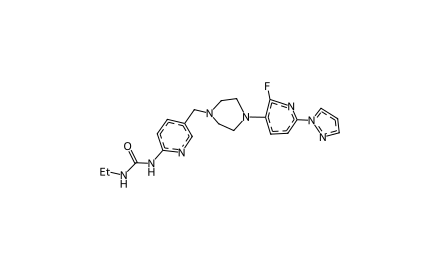 CCNC(=O)Nc1ccc(CN2CCN(c3ccc(-n4cccn4)nc3F)CC2)cn1